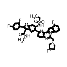 CCS(=O)(=O)Nc1cc2oc(-c3ccc(F)cc3F)c(C(=O)NC)c2cc1-c1ccc2nc(CN3CC[C@@H](F)C3)n3c4cccc(F)c4cc3c2n1